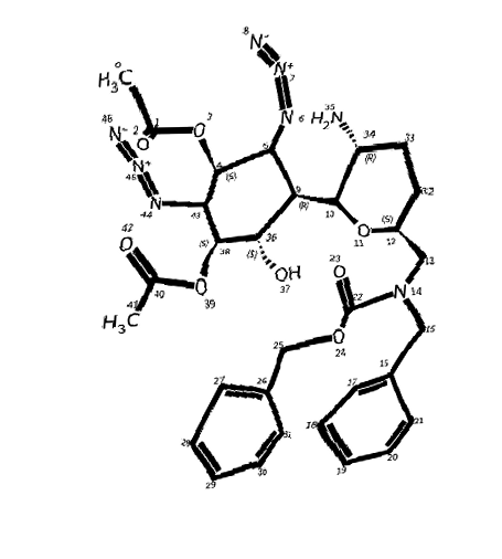 CC(=O)O[C@H]1C(N=[N+]=[N-])[C@@H](C2O[C@H](CN(Cc3ccccc3)C(=O)OCc3ccccc3)CC[C@H]2N)[C@H](O)[C@@H](OC(C)=O)C1N=[N+]=[N-]